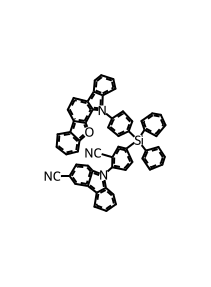 N#Cc1ccc2c(c1)c1ccccc1n2-c1ccc([Si](c2ccccc2)(c2ccccc2)c2ccc(-n3c4ccccc4c4ccc5c6ccccc6oc5c43)cc2)cc1C#N